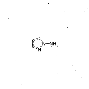 Nn1c[c]cn1